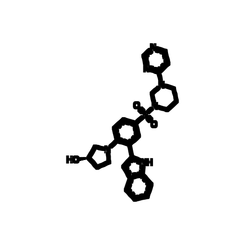 O=S(=O)(c1ccc(N2CC[C@H](O)C2)c(-c2cc3ccccc3[nH]2)c1)N1CCCN(c2ccncn2)C1